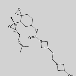 CC(C)=CC[C@H]1O[C@]1(C)C1CC(OC(=O)N2CC(CCN3CC(O)C3)C2)CCC12CO2